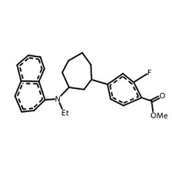 CCN(c1cccc2ccccc12)C1CCCCC(c2ccc(C(=O)OC)c(F)c2)C1